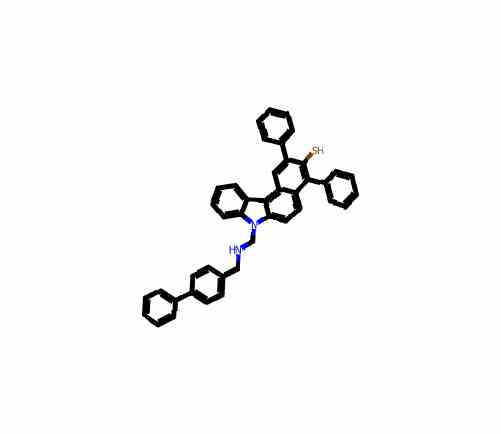 Sc1c(-c2ccccc2)cc2c(ccc3c2c2ccccc2n3CNCc2ccc(-c3ccccc3)cc2)c1-c1ccccc1